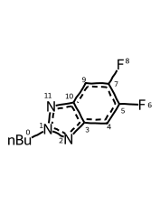 CCCCn1nc2cc(F)c(F)cc2n1